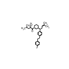 CC(C)=CCN(c1ccc(CCc2ccc(F)cc2)cc1)C1CCCN(C(=O)C(N)CC(C)C)C1